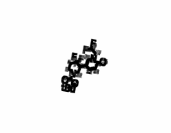 CC(C)(C)OC(=O)N1CCC(F)(F)C(c2ccc(=O)n(CC(F)F)c2)C1